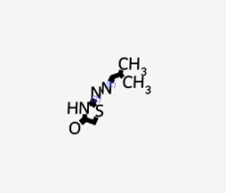 CC(C)/C=N/N=C1/NC(=O)CS1